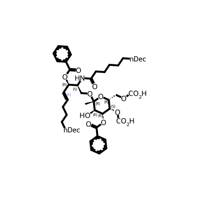 CCCCCCCCCCCCC/C=C/[C@@H](OC(=O)c1ccccc1)[C@H](CO[C@]1(C)O[C@H](COC(=O)O)[C@H](OC(=O)O)[C@H](OC(=O)c2ccccc2)[C@H]1O)NC(=O)CCCCCCCCCCCCCCC